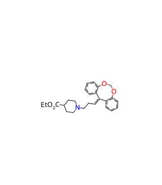 CCOC(=O)C1CCN(CCC=C2c3ccccc3OCOc3ccccc32)CC1